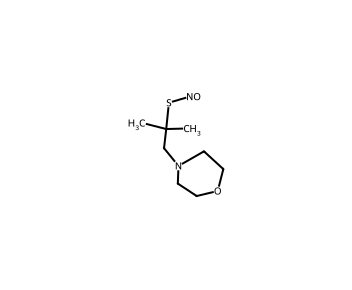 CC(C)(CN1CCOCC1)SN=O